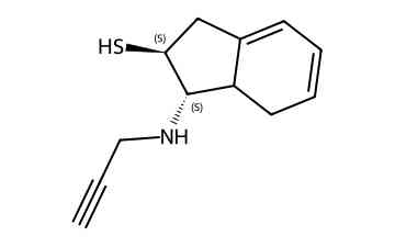 C#CCN[C@H]1C2CC=CC=C2C[C@@H]1S